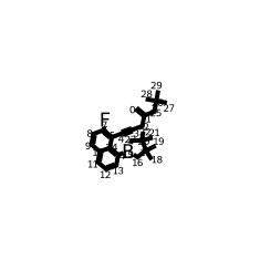 C=C(CC#Cc1c(F)ccc2cccc(B3CC(C)(C)C(C)(C)C3)c12)CC(C)(C)C